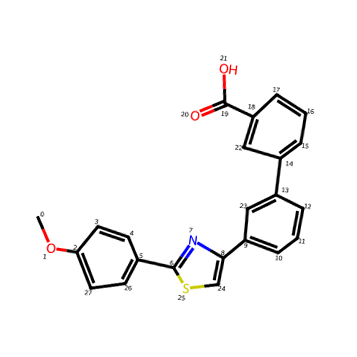 COc1ccc(-c2nc(-c3cccc(-c4cccc(C(=O)O)c4)c3)cs2)cc1